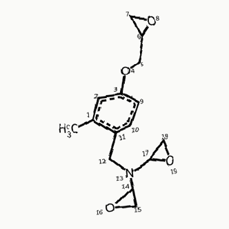 Cc1cc(OCC2CO2)ccc1CN(C1CO1)C1CO1